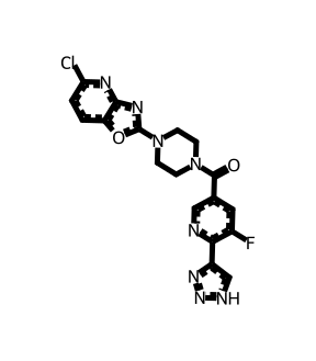 O=C(c1cnc(-c2c[nH]nn2)c(F)c1)N1CCN(c2nc3nc(Cl)ccc3o2)CC1